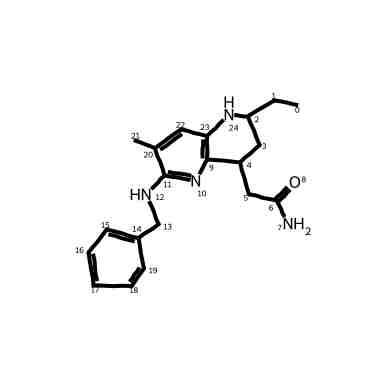 CCC1CC(CC(N)=O)c2nc(NCc3ccccc3)c(C)cc2N1